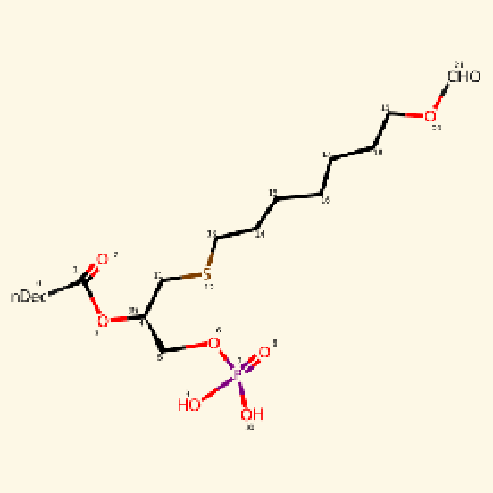 CCCCCCCCCCC(=O)O[C@H](COP(=O)(O)O)CSCCCCCCCOC=O